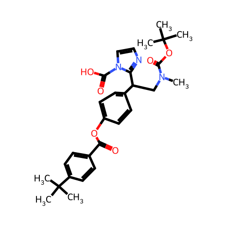 CN(CC(c1ccc(OC(=O)c2ccc(C(C)(C)C)cc2)cc1)c1nccn1C(=O)O)C(=O)OC(C)(C)C